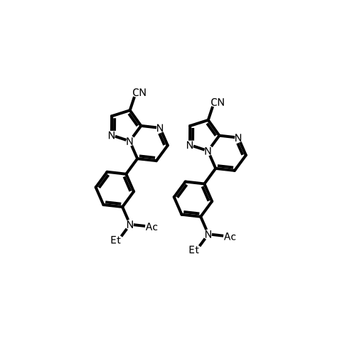 CCN(C(C)=O)c1cccc(-c2ccnc3c(C#N)cnn23)c1.CCN(C(C)=O)c1cccc(-c2ccnc3c(C#N)cnn23)c1